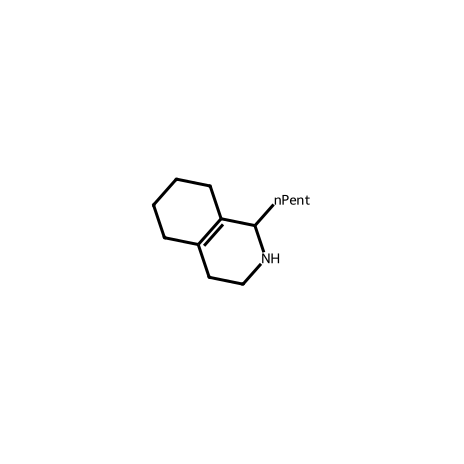 CCCCCC1NCCC2=C1CCCC2